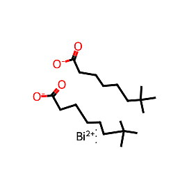 CC(C)(C)CCCCCC(=O)[O-].CC(C)(C)CCCCCC(=O)[O-].[Bi+2]